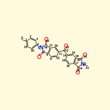 Cc1ccc(N2C(=O)c3ccc(C(=O)c4ccc5c(c4)C(=O)N(C)C5=O)cc3C2=O)cc1